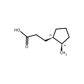 C[C@@H]1CCC[C@@H]1CCC(=O)O